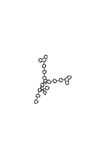 c1ccc(-c2ccc(-c3ccc4c(c3)[Si](c3ccccc3)(c3ccccc3)c3cc(-n5c6ccc(-c7ccc(-c8ccc(-c9cc%10ccccc%10c%10ccccc9%10)cc8)cc7)cc6c6cc(-c7ccc(-c8ccc(-c9cc%10ccccc%10c%10ccccc9%10)cc8)cc7)ccc65)ccc3-4)cc2)cc1